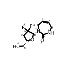 O=C1NCC=CCN1[C@@H]1O[C@H](CO)CC1(F)F